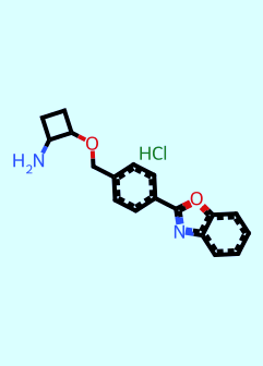 Cl.NC1CCC1OCc1ccc(-c2nc3ccccc3o2)cc1